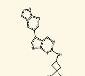 C[C@]1(O)C[C@@H](Nc2ncc3c(-c4cnc5nccn5c4)c[nH]c3n2)C1